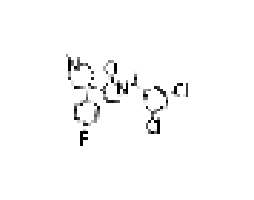 CC(c1cc(Cl)cc(Cl)c1)N1CC=C(C2(c3ccc(F)cc3)CCN(C)CC2)C1=O